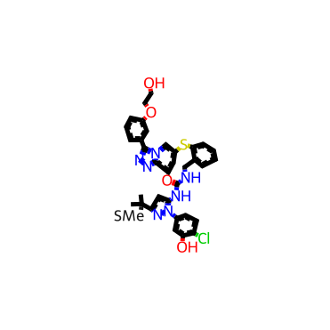 CSC(C)(C)c1cc(NC(=O)NCc2ccccc2Sc2ccc3nnc(-c4cccc(OCCO)c4)n3c2)n(-c2ccc(Cl)c(O)c2)n1